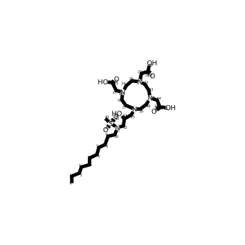 CCCCCCCCCCCN(CC(O)CN1CCN(CC(=O)O)CCN(CC(=O)O)CCN(CC(=O)O)CC1)S(C)(=O)=O